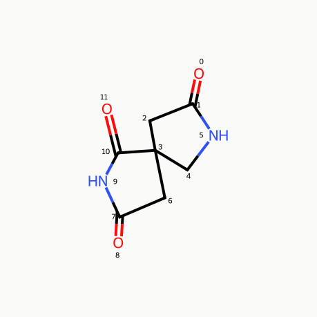 O=C1CC2(CN1)CC(=O)NC2=O